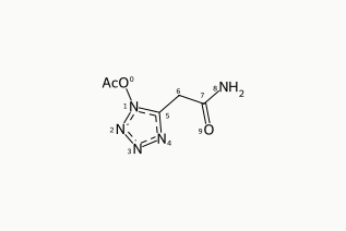 CC(=O)On1nnnc1CC(N)=O